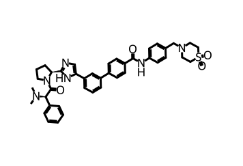 CN(C)[C@@H](C(=O)N1CCC[C@H]1c1ncc(-c2cccc(-c3ccc(C(=O)Nc4ccc(CN5CCS(=O)(=O)CC5)cc4)cc3)c2)[nH]1)c1ccccc1